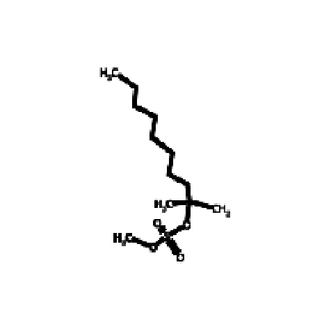 CCCCCCCCC(C)(C)OS(=O)(=O)OC